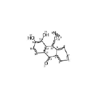 C#N.O=C1c2ccccc2C(=O)c2c1ccc(O)c2O